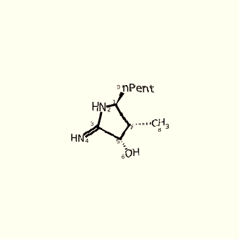 CCCCC[C@@H]1NC(=N)[C@@H](O)[C@H]1C